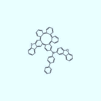 c1ccc(-c2ccc(N(c3ccc4oc5ccccc5c4c3)c3ccc4c(c3)c3ccccc3c3ccccc3c3ccccc3c3cc5sc6ccccc6c5cc43)cc2)cc1